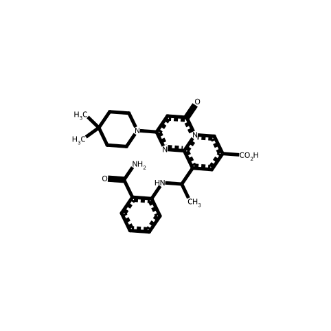 CC(Nc1ccccc1C(N)=O)c1cc(C(=O)O)cn2c(=O)cc(N3CCC(C)(C)CC3)nc12